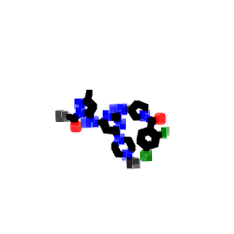 CCC(=O)n1nc(C)cc1Nc1cc(N2CCN(CC)CC2)nc(N[C@H]2CCN(C(=O)c3ccc(Cl)cc3F)C2)n1